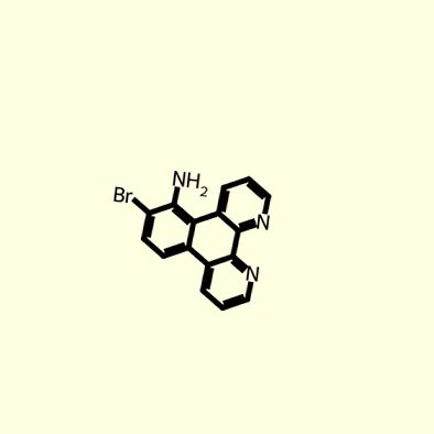 Nc1c(Br)ccc2c3cccnc3c3ncccc3c12